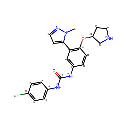 Cn1nccc1-c1cc(NC(=O)Nc2ccc(F)cc2)ccc1OC1CCNC1